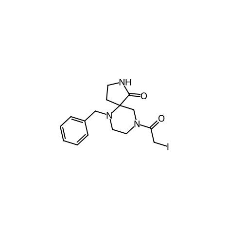 O=C(CI)N1CCN(Cc2ccccc2)C2(CCNC2=O)C1